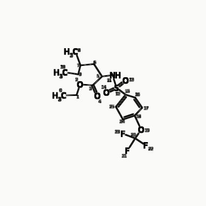 CCOC(=O)C(CC(C)CC)NS(=O)(=O)c1ccc(OC(F)(F)F)cc1